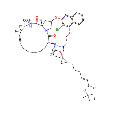 CC1(C)OB(/C=C/CCC[C@@H]2C[C@H]2OC(=O)N[C@H]2CCCCC/C=C\[C@@H]3C[C@@]3(C(=O)O)NC(=O)[C@@H]3C[C@@H](Oc4nc5ccccc5c(OCCN5CCCCC5)c4Br)CN3C2=O)OC1(C)C